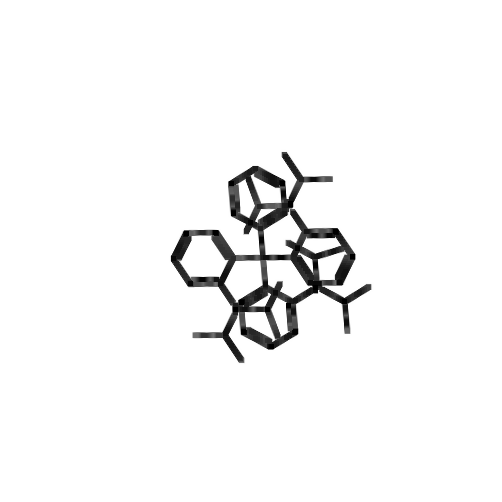 CC(C)P(c1ccccc1C(c1ccccc1)(c1ccccc1P(C(C)C)C(C)C)c1ccccc1P(C(C)C)C(C)C)C(C)C